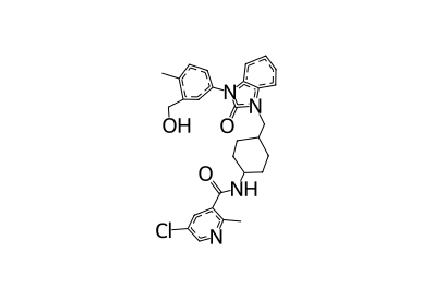 Cc1ccc(-n2c(=O)n(CC3CCC(NC(=O)c4cc(Cl)cnc4C)CC3)c3ccccc32)cc1CO